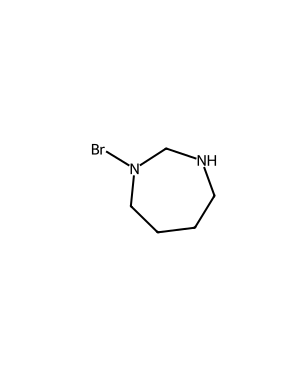 BrN1CCCCNC1